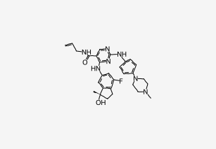 C=CCNC(=O)c1cnc(Nc2ccc(N3CCN(C)CC3)cc2)nc1Nc1cc(F)c2c(c1)[C@@](C)(O)CC2